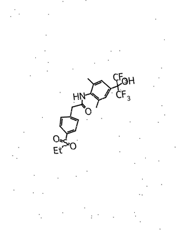 CCS(=O)(=O)c1ccc(CC(=O)Nc2c(C)cc(C(O)(C(F)(F)F)C(F)(F)F)cc2C)cc1